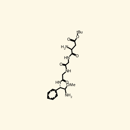 COC(N)[C@@H](NC(=O)CNC(=O)CNC(=O)C(N)CC(=O)OC(C)(C)C)c1ccccc1